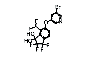 OC1(O)c2c(ccc(Oc3cncc(Br)c3)c2C(F)F)C(F)(F)C1(F)F